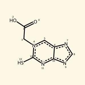 O=C(O)Cn1cc2ncnc-2nc1S